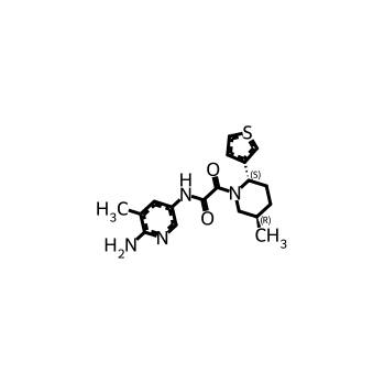 Cc1cc(NC(=O)C(=O)N2C[C@H](C)CC[C@H]2c2ccsc2)cnc1N